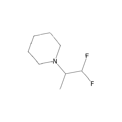 CC(C(F)F)N1CCCCC1